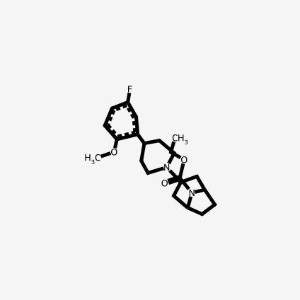 CCOC(=O)N1C2CCC1CC(N1CCC(c3cc(F)ccc3OC)CC1)C2